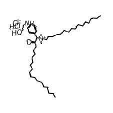 CCCCCCCC/C=C\CCCCCCCC(=O)C(c1ccccc1)[N+](C)(C)CCCCCCCCCCCCCCCC.Cl.NCCO.[Cl-]